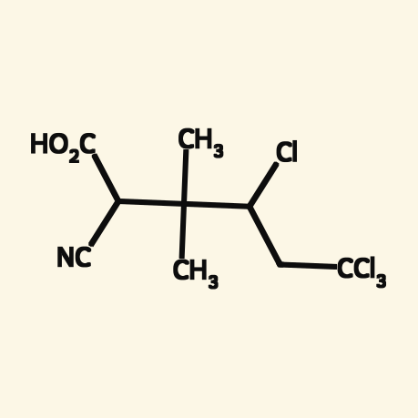 CC(C)(C(Cl)CC(Cl)(Cl)Cl)C(C#N)C(=O)O